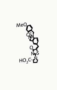 COc1ccc(Cn2ncc3cc(C=C4SC(N5CCC[C@@H]5C(=O)O)=NC4=O)ccc32)c(C(F)(F)F)c1